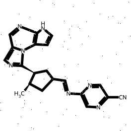 C[C@@H]1CC(/C=N/c2cnc(C#N)cn2)C[C@@H]1c1ncc2cnc3[nH]ccc3n12